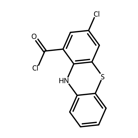 O=C(Cl)c1cc(Cl)cc2c1Nc1ccccc1S2